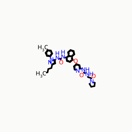 CCCCc1cc(NC(=O)Nc2ccc(Oc3ccnc(NC(=O)NCC(=O)N4CCCC4)c3)c3ccccc23)n(-c2ccc(C)cc2)n1